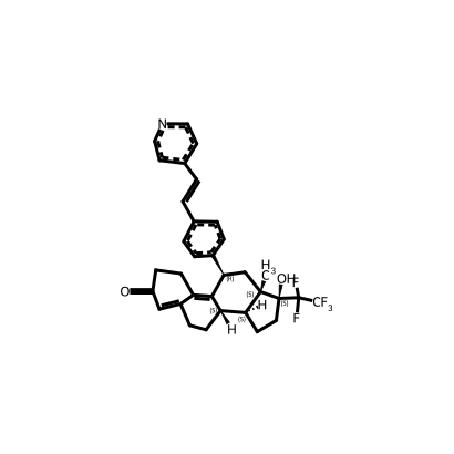 C[C@]12C[C@H](c3ccc(C=Cc4ccncc4)cc3)C3=C4CCC(=O)C=C4CC[C@H]3[C@@H]1CC[C@@]2(O)C(F)(F)C(F)(F)F